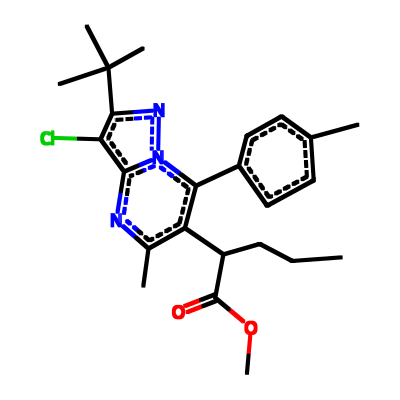 CCCC(C(=O)OC)c1c(C)nc2c(Cl)c(C(C)(C)C)nn2c1-c1ccc(C)cc1